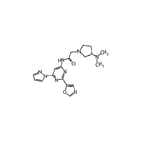 CN(C)C1CCN(CC(=O)Nc2cc(-n3cccn3)nc(-c3cnco3)n2)C1